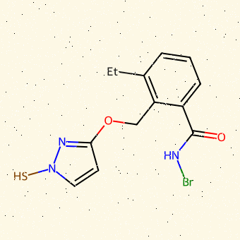 CCc1cccc(C(=O)NBr)c1COc1ccn(S)n1